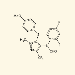 COc1ccc(Sc2c(N(C=O)c3ccc(F)cc3F)c(C(F)(F)F)nn2C)cc1